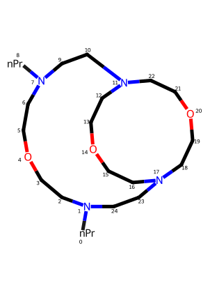 CCCN1CCOCCN(CCC)CCN2CCOCCN(CCOCC2)CC1